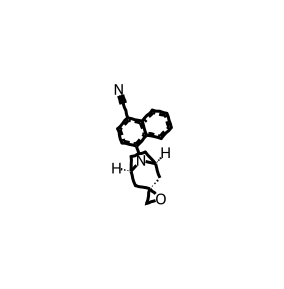 N#Cc1ccc(N2[C@@H]3CC[C@H]2C[C@]2(CO2)C3)c2ccccc12